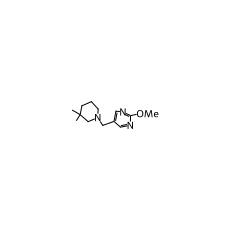 COc1ncc(CN2CCCC(C)(C)C2)cn1